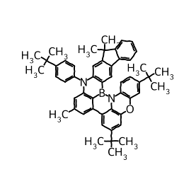 Cc1cc2c3c(c1)N(c1ccc(C(C)(C)C)cc1)c1cc4c(cc1B3N1c3ccc(C(C)(C)C)cc3Oc3cc(C(C)(C)C)cc-2c31)-c1ccccc1C4(C)C